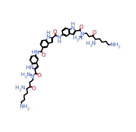 NCCCC[C@H](N)C(=O)CCN(N)C(=O)c1cc2cc(NC(=O)c3ccc4[nH]c(C(=O)Nc5ccc6[nH]c(C(=O)N(N)CCC(=O)[C@@H](N)CCCCN)cc6c5)cc4c3)ccc2[nH]1